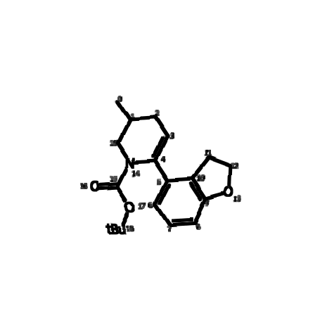 CC1CC=C(c2cccc3c2CCO3)N(C(=O)OC(C)(C)C)C1